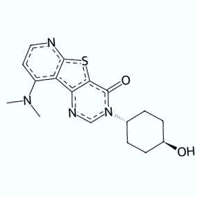 CN(C)c1ccnc2sc3c(=O)n([C@H]4CC[C@H](O)CC4)cnc3c12